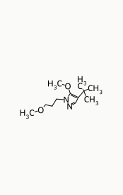 COCCCn1ncc(C(C)(C)C)c1OC